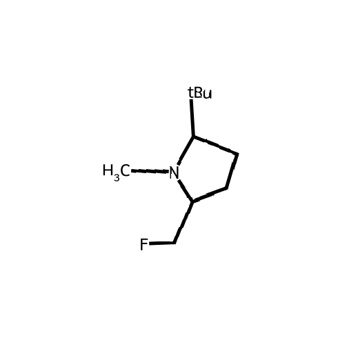 CN1C(CF)CCC1C(C)(C)C